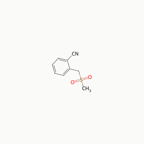 CS(=O)(=O)Cc1ccccc1C#N